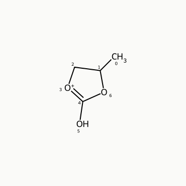 CC1C[O+]=C(O)O1